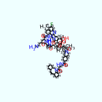 CCC1(O)C(=O)OCc2c1cc1n(c2=O)Cc2c-1nc1cc(F)c(C)c3c1c2C(NC(=O)C(CCCCN)NC(=O)C(NC(=O)CCC(C)(C)OCCC(C)(C)C(=O)N1CCC2(CCC(C(=O)NCCC(=O)N4Cc5ccccc5C#Cc5ccccc54)CC2)CC1)C(C)C)CC3